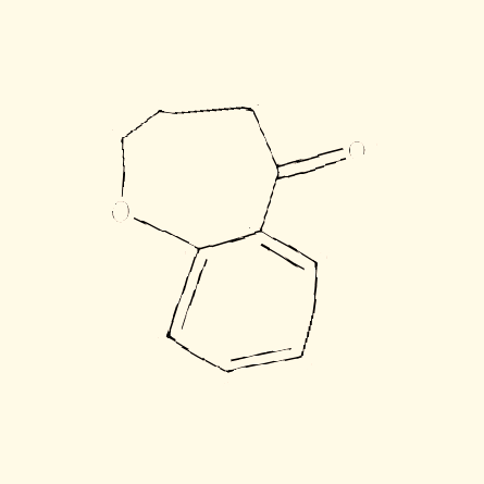 O=C1[C]CCOc2ccccc21